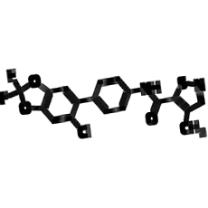 Cc1cnsc1C(=O)Nc1ccc(-c2cc3c(cc2Cl)OC(F)(F)O3)cc1